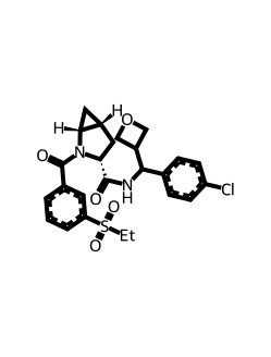 CCS(=O)(=O)c1cccc(C(=O)N2[C@@H](C(=O)NC(c3ccc(Cl)cc3)C3COC3)C[C@H]3C[C@H]32)c1